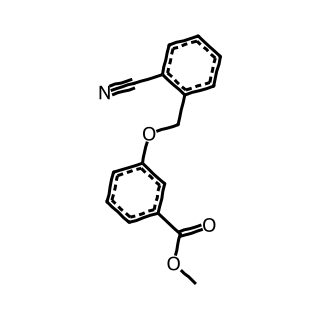 COC(=O)c1cccc(OCc2ccccc2C#N)c1